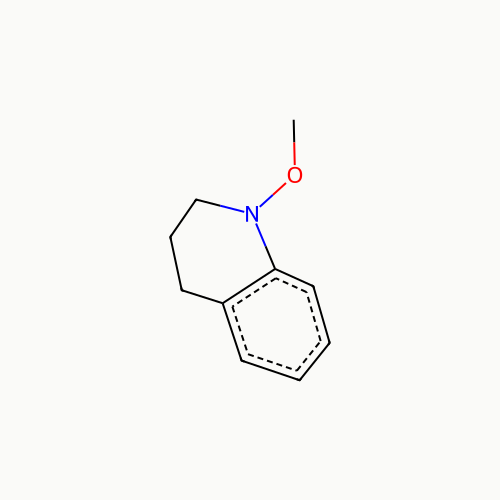 CON1CCCc2ccccc21